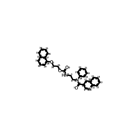 O=C(NCCN(C(=O)c1cnc2ccccc2c1)c1ccccc1)OCCOc1cccc2ccccc12